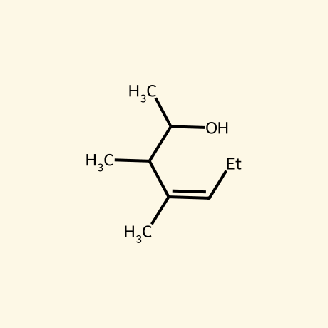 CCC=C(C)C(C)C(C)O